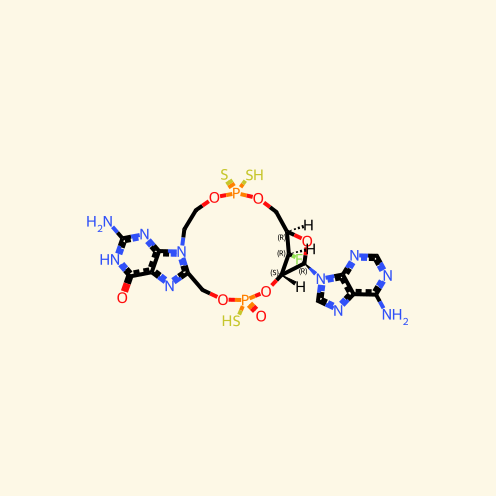 Nc1nc2c(nc3n2CCOP(=S)(S)OC[C@H]2O[C@@H](n4cnc5c(N)ncnc54)[C@H](OP(=O)(S)OC3)[C@@H]2F)c(=O)[nH]1